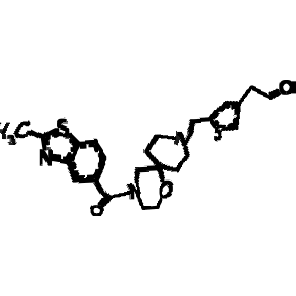 Cc1nc2cc(C(=O)N3CCOC4(CCN(Cc5cc(CC=O)cs5)CC4)C3)ccc2s1